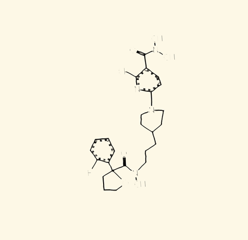 CN(C)C(=O)c1ccc(N2CCC(CCCN(C)C(=O)C3(c4ccccc4F)CCCO3)CC2)nc1Cl